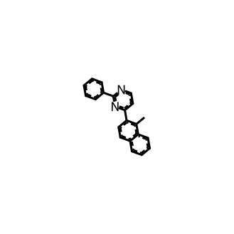 Cc1c(-c2ccnc(-c3ccccc3)n2)ccc2ccccc12